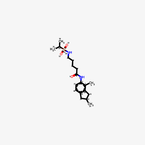 Cc1c(NC(=O)CCCCNS(=O)(=O)C(C)C)ccc2c1CC(C)C2